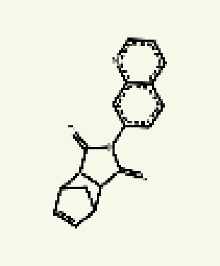 O=C1C2C3C=CC(C3)C2C(=O)N1c1ccc2cccnc2c1